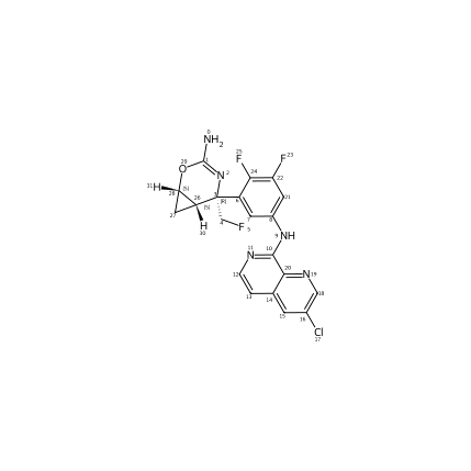 NC1=N[C@@](CF)(c2cc(Nc3nccc4cc(Cl)cnc34)cc(F)c2F)[C@@H]2C[C@@H]2O1